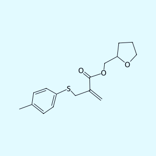 C=C(CSc1ccc(C)cc1)C(=O)OCC1CCCO1